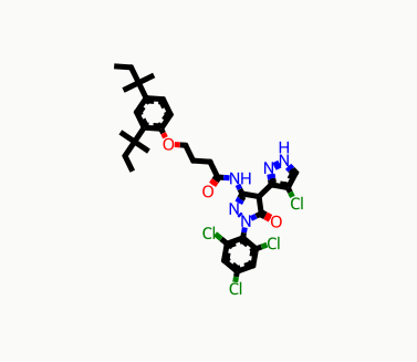 CCC(C)(C)c1ccc(OCCCC(=O)NC2=NN(c3c(Cl)cc(Cl)cc3Cl)C(=O)C2c2n[nH]cc2Cl)c(C(C)(C)CC)c1